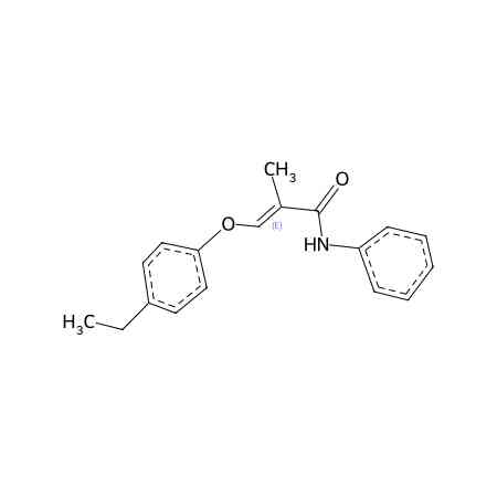 CCc1ccc(O/C=C(\C)C(=O)Nc2ccccc2)cc1